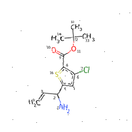 C=CC(N)c1cc(Cl)c(C(=O)OC(C)(C)C)s1